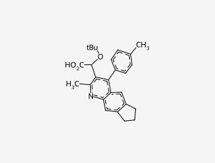 Cc1ccc(-c2c(C(OC(C)(C)C)C(=O)O)c(C)nc3cc4c(cc23)CCC4)cc1